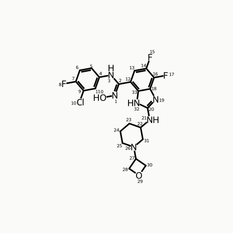 ON=C(Nc1ccc(F)c(Cl)c1)c1cc(F)c(F)c2nc(NC3CCCN(C4COC4)C3)[nH]c12